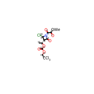 COC(=O)C(=O)N1C(=O)[C@H](C(C)OC(=O)OCC(Cl)(Cl)Cl)[C@H]1Cl